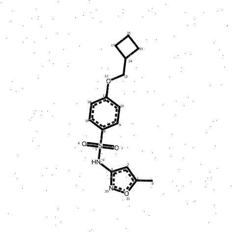 Cc1cc(NS(=O)(=O)c2ccc(OCC3CCC3)cc2)no1